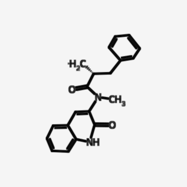 [CH2][C@H](Cc1ccccc1)C(=O)N(C)c1cc2ccccc2[nH]c1=O